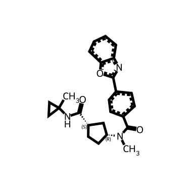 CN(C(=O)c1ccc(-c2nc3ccccc3o2)cc1)[C@@H]1CC[C@H](C(=O)NC2(C)CC2)C1